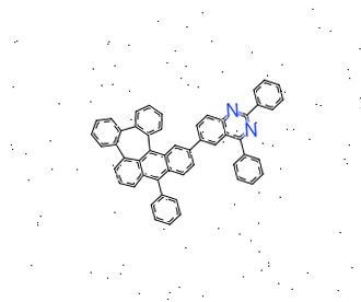 c1ccc(-c2nc(-c3ccccc3)c3cc(-c4ccc5c(-c6ccccc6)c6cccc7c6c(c5c4)-c4ccccc4-c4ccccc4-7)ccc3n2)cc1